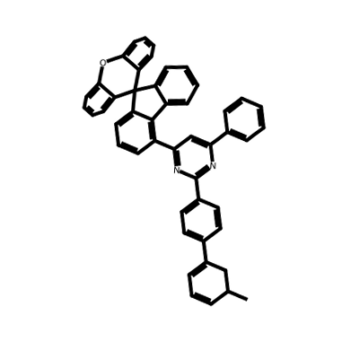 CC1C=CC=C(c2ccc(-c3nc(-c4ccccc4)cc(-c4cccc5c4-c4ccccc4C54c5ccccc5Oc5ccccc54)n3)cc2)C1